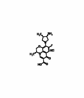 C[C@@H]1CN(c2c(F)cc3c(=O)c(C(=O)O)cn4c3c2OC[C@@H]4C)C[C@@H]1N.Cl